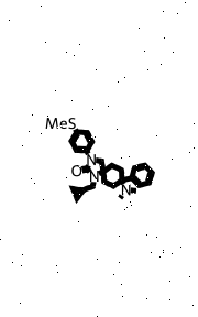 CSc1ccc(N2CC3(CCC(c4ccccc4)(N(C)C)CC3)N(CC3CC3)C2=O)cc1